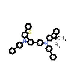 CC1(C)c2ccccc2-c2ccc(N(c3ccc(-c4ccccc4)cc3)c3ccc(-c4ccc5c(c4)c4c6sc7ccccc7c6ccc4n5-c4ccc(-c5ccccc5)cc4)cc3)cc21